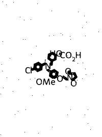 COc1cc(CN(CC2CCCCC2)[C@@H](C)c2ccc(Cl)cc2)ccc1OCCN1C(=O)CCC1=O.O=C(O)O